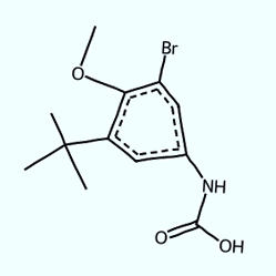 COc1c(Br)cc(NC(=O)O)cc1C(C)(C)C